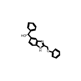 O[C@H](c1ccccc1)c1ccc2[nH]c(COc3ccccc3)nc2c1